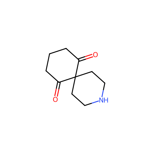 O=C1CCCC(=O)C12CCNCC2